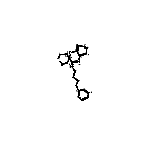 c1ccc(CCCCNC2=Nc3ccccc3NC23CCOCC3)cc1